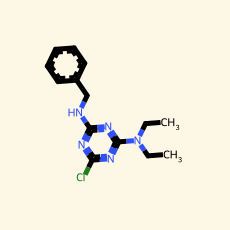 CCN(CC)c1nc(Cl)nc(NCc2ccccc2)n1